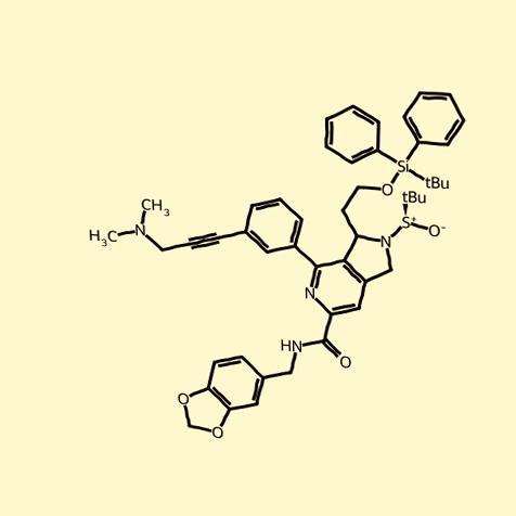 CN(C)CC#Cc1cccc(-c2nc(C(=O)NCc3ccc4c(c3)OCO4)cc3c2C(CCO[Si](c2ccccc2)(c2ccccc2)C(C)(C)C)N([S@+]([O-])C(C)(C)C)C3)c1